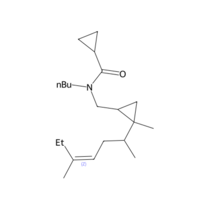 CCCCN(CC1CC1(C)C(C)C/C=C(/C)CC)C(=O)C1CC1